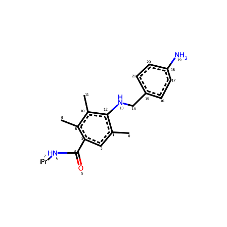 Cc1cc(C(=O)NC(C)C)c(C)c(C)c1NCc1ccc(N)cc1